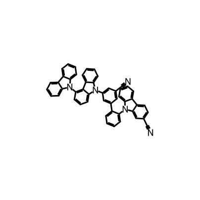 N#Cc1cc(-c2ccccc2-n2c3ccccc3c3ccc(C#N)cc32)cc(-n2c3ccccc3c3c(-n4c5ccccc5c5ccccc54)cccc32)c1